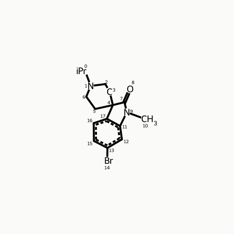 CC(C)N1CCC2(CC1)C(=O)N(C)c1cc(Br)ccc12